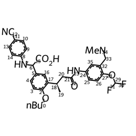 CCCCOc1ccc(C(Nc2ccc(C#N)cc2)C(=O)O)cc1[C@H](C)CC(=O)Nc1ccc(OC(F)F)c(CNC)c1